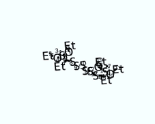 CCO[Si](C)(OCC)C(CC)SSSSSSC(CC)[Si](C)(OCC)OCC